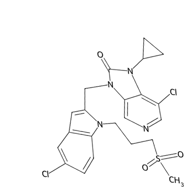 CS(=O)(=O)CCCn1c(Cn2c(=O)n(C3CC3)c3c(Cl)cncc32)cc2cc(Cl)ccc21